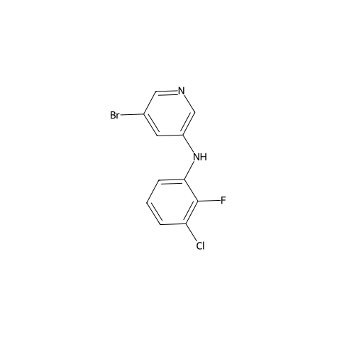 Fc1c(Cl)cccc1Nc1cncc(Br)c1